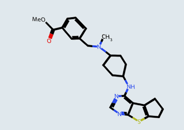 COC(=O)c1cccc(CN(C)C2CCC(Nc3ncnc4sc5c(c34)CCC5)CC2)c1